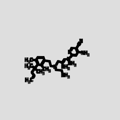 C=CCC(C)(C)c1c(C)ccc(CCN(CCN)C/C(N)=C/N(N)c2cc(N)c(C#N)cn2)c1C